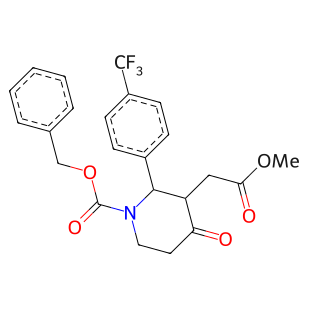 COC(=O)CC1C(=O)CCN(C(=O)OCc2ccccc2)C1c1ccc(C(F)(F)F)cc1